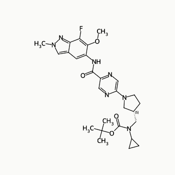 COc1c(NC(=O)c2cnc(N3CC[C@H](CN(C(=O)OC(C)(C)C)C4CC4)C3)cn2)cc2cn(C)nc2c1F